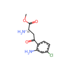 COC(=O)[C@@H](N)CC(=O)c1ccc(Cl)cc1N